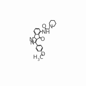 COc1ccc(C2=C3C(=O)c4c(NC(=O)CN5CCCCC5)cccc4C3N=N2)cc1